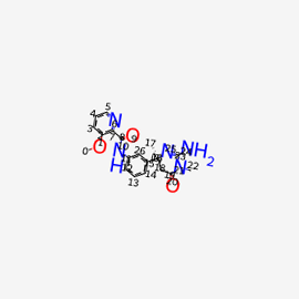 COc1cccnc1C(=O)Nc1cccc([C@]2(C)CC(=O)N(C)C(N)=N2)c1